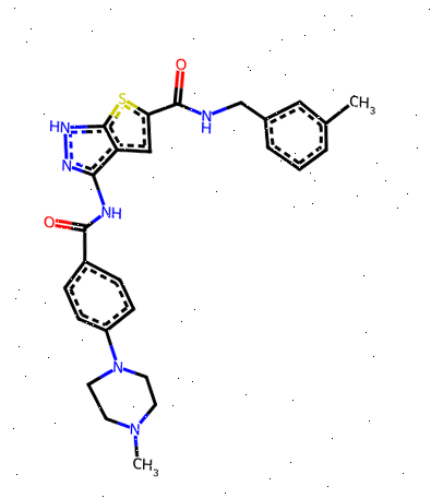 Cc1cccc(CNC(=O)c2cc3c(NC(=O)c4ccc(N5CCN(C)CC5)cc4)n[nH]c3s2)c1